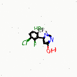 Br.Oc1cc(-c2c(C(F)(F)F)ccc(Cl)c2F)ncn1